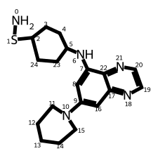 NSC1CCC(Nc2cc(N3CCCCC3)cc3nccnc23)CC1